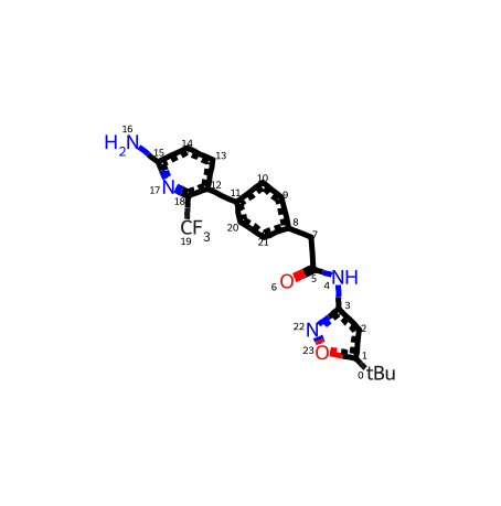 CC(C)(C)c1cc(NC(=O)Cc2ccc(-c3ccc(N)nc3C(F)(F)F)cc2)no1